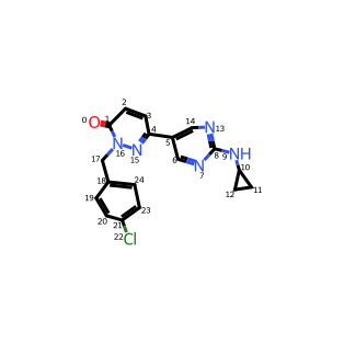 O=c1ccc(-c2cnc(NC3CC3)nc2)nn1Cc1ccc(Cl)cc1